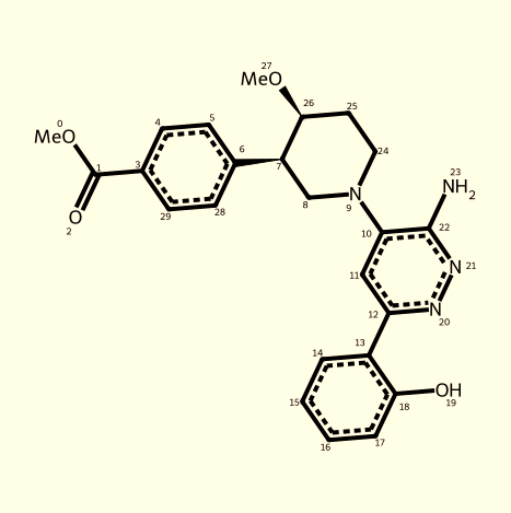 COC(=O)c1ccc([C@@H]2CN(c3cc(-c4ccccc4O)nnc3N)CC[C@@H]2OC)cc1